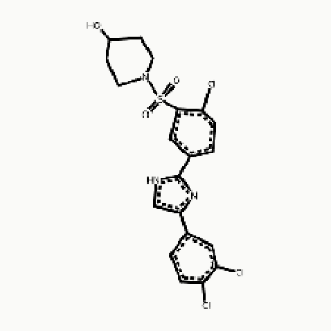 O=S(=O)(c1cc(-c2nc(-c3ccc(Cl)c(Cl)c3)c[nH]2)ccc1Cl)N1CCC(O)CC1